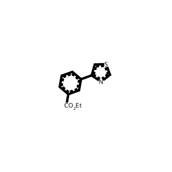 CCOC(=O)c1cccc(-c2cs[c]n2)c1